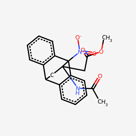 COC(=O)CC1(NC(C)=O)CC2c3ccccc3C1([N+](=O)[O-])c1ccccc12